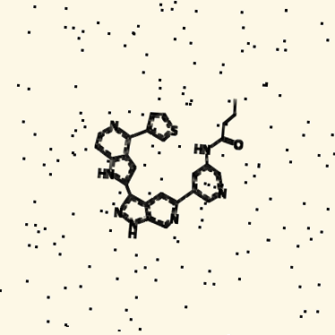 CCCC(=O)Nc1cncc(-c2cc3c(-c4cc5c(-c6ccsc6)nccc5[nH]4)n[nH]c3cn2)c1